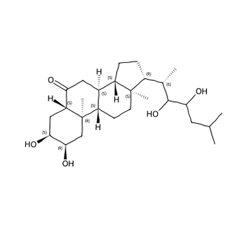 CC(C)CC(O)C(O)[C@@H](C)[C@H]1CC[C@H]2[C@@H]3CC(=O)[C@H]4C[C@H](O)[C@H](O)C[C@]4(C)[C@H]3CC[C@]12C